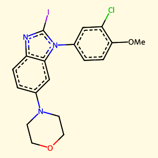 COc1ccc(-n2c(I)nc3ccc(N4CCOCC4)cc32)cc1Cl